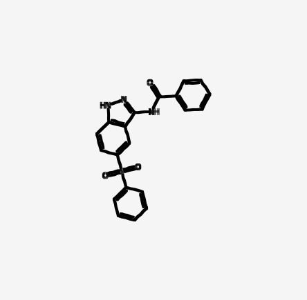 O=C(Nc1n[nH]c2ccc(S(=O)(=O)c3ccccc3)cc12)c1ccccc1